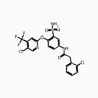 NS(=O)(=O)c1cc(NC(=O)Cc2ccccc2Cl)ccc1Oc1cc(C(F)(F)F)c(Cl)cn1